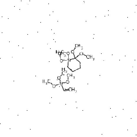 C=C[Si](OC)(OC)OC.COC1(OC)CCCC[Si]1(OC)OC